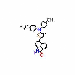 Cc1ccc(N(c2ccc(C)cc2)c2ccc(-c3ccc4c5c(cccc35)C(=O)N4I)s2)cc1